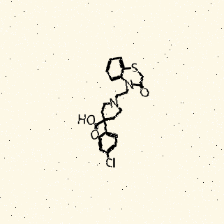 O=C1CSc2ccccc2N1CCN1CCC(C(=O)O)(c2ccc(Cl)cc2)CC1